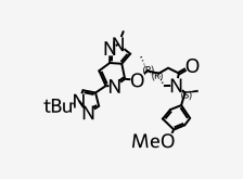 COc1ccc([C@H](C)N2C[C@H]([C@@H](C)Oc3nc(-c4cnn(C(C)(C)C)c4)cc4nn(C)cc34)CC2=O)cc1